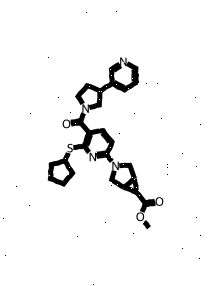 COC(=O)C1C2CN(c3ccc(C(=O)N4CCC(c5cccnc5)C4)c(SC4CCCC4)n3)CC21